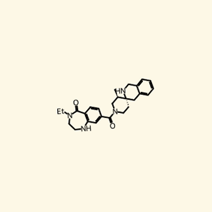 CCN1CCNc2cc(C(=O)N3CC[C@]4(Cc5ccccc5CN4)[C@H](C)C3)ccc2C1=O